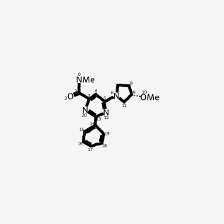 CNC(=O)c1cc(N2CC[C@H](OC)C2)nc(-c2ccccc2)n1